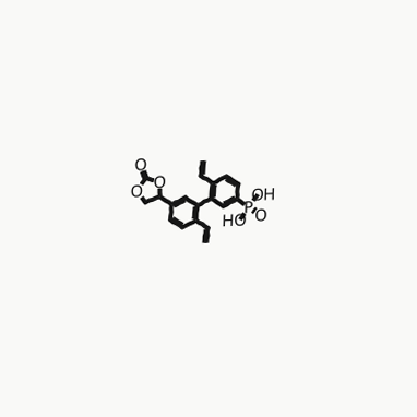 C=Cc1ccc(C2COC(=O)O2)cc1-c1cc(P(=O)(O)O)ccc1C=C